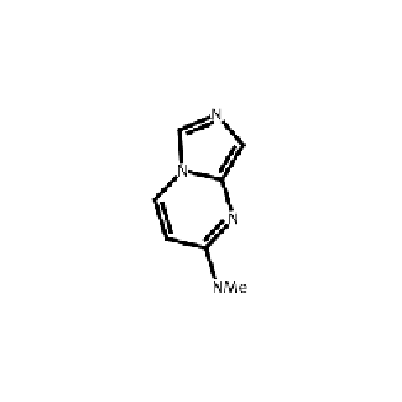 CNc1ccn2cncc2n1